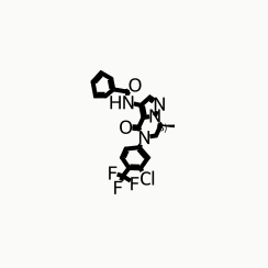 C[C@H]1CN(c2ccc(C(F)(F)F)c(Cl)c2)C(=O)c2c(NC(=O)c3ccccc3)cnn21